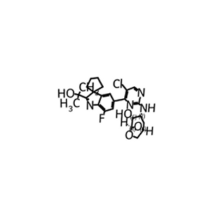 CC(C)(O)C1=Nc2c(F)cc(-c3nc(N[C@@H]4C[C@H]5CO[C@H](O5)[C@H]4O)ncc3Cl)cc2C12CCCC2